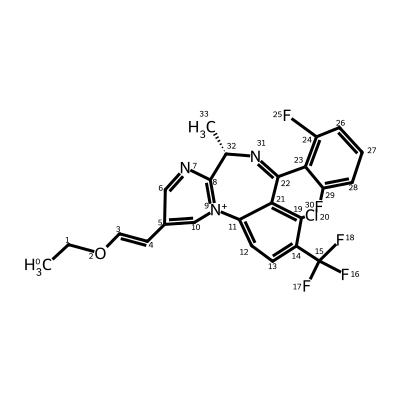 CCO/C=C/c1cnc2[n+](c1)-c1ccc(C(F)(F)F)c(Cl)c1C(c1c(F)cccc1F)=N[C@H]2C